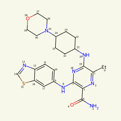 CCc1nc(C(N)=O)c(Nc2ccc3ncsc3c2)nc1NC1CCC(N2CCOCC2)CC1